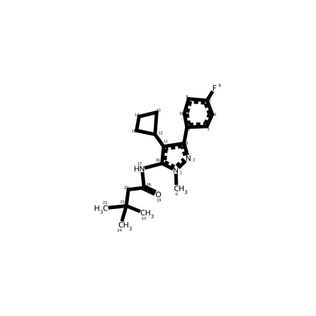 Cn1nc(-c2ccc(F)cc2)c(C2CCC2)c1NC(=O)CC(C)(C)C